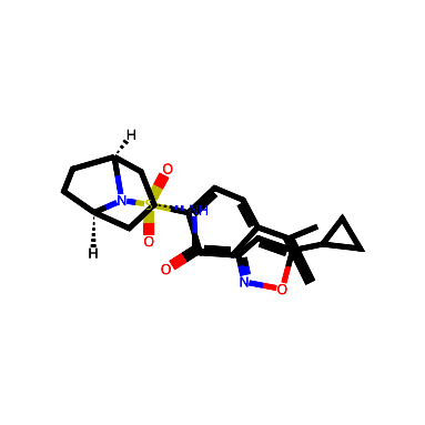 C=C(C)c1ccc(S(=O)(=O)N2[C@@H]3CC[C@H]2C[C@H](NC(=O)c2cc(C4CC4)on2)C3)cc1